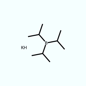 CC(C)B(C(C)C)C(C)C.[KH]